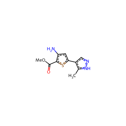 COC(=O)c1sc(-c2cn[nH]c2C)cc1N